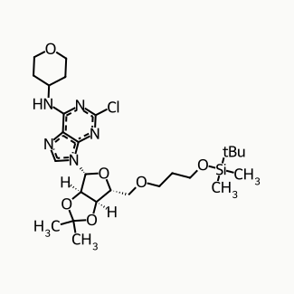 CC1(C)O[C@@H]2[C@H](O1)[C@@H](COCCCO[Si](C)(C)C(C)(C)C)O[C@H]2n1cnc2c(NC3CCOCC3)nc(Cl)nc21